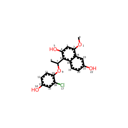 COc1cc(O)c(C(C)Oc2ccc(O)cc2Cl)c2ccc(O)cc12